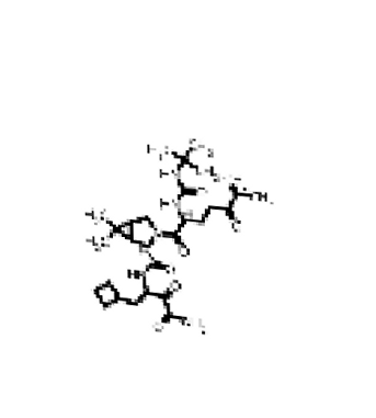 C=C(C)C(=O)CC[C@H](NC(=O)NC(C)(C)C)C(=O)N1CC2C([C@H]1C(=O)NC(CC1CCC1)C(=O)C(N)=O)C2(C)C